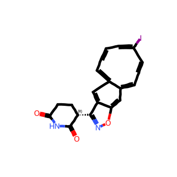 O=C1CC[C@H](c2noc3cc4cccc(I)ccccc4cc23)C(=O)N1